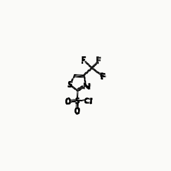 O=S(=O)(Cl)c1nc(C(F)(F)F)cs1